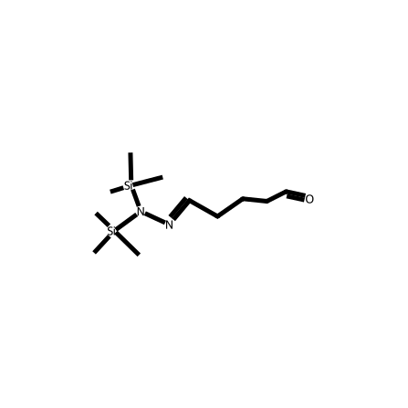 C[Si](C)(C)N(N=CCCCC=O)[Si](C)(C)C